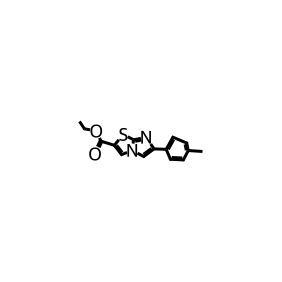 CCOC(=O)c1cn2cc(-c3ccc(C)cc3)nc2s1